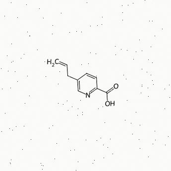 C=CCc1ccc(C(=O)O)nc1